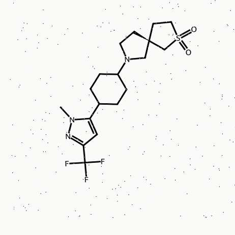 Cn1nc(C(F)(F)F)cc1C1CCC(N2CC[C@]3(CCS(=O)(=O)C3)C2)CC1